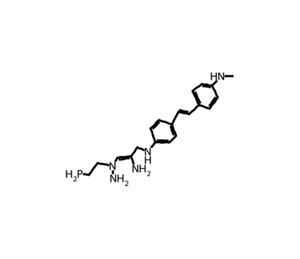 CNc1ccc(/C=C/c2ccc(NC/C(N)=C/N(N)CCP)cc2)cc1